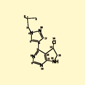 CC(C)Cn1cc(-c2ncnc3c2C(Cl)CN3)cn1